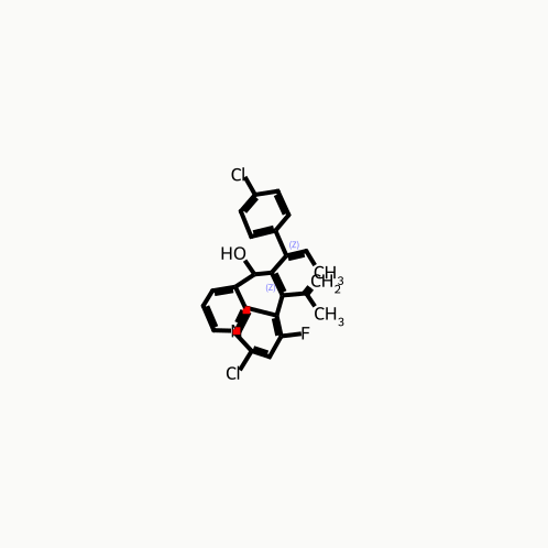 C=C(C)/C(=C(\C(=C/C)c1ccc(Cl)cc1)C(O)c1cccnc1)c1ccc(Cl)cc1F